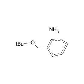 CC(C)(C)OCc1ccccc1.N